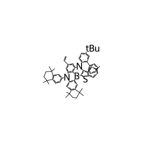 C=Cc1cc2c3c(c1)N(c1ccc(C(C)(C)C)cc1-c1ccccc1)c1c(sc4ccc(C)cc14)B3c1cc3c(cc1N2c1ccc2c(c1)C(C)(C)CCC2(C)C)C(C)(C)CCC3(C)C